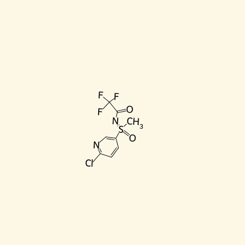 CS(=O)(=NC(=O)C(F)(F)F)c1ccc(Cl)nc1